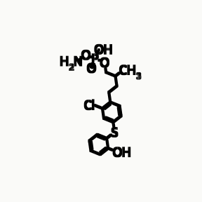 CC(CCc1ccc(Sc2ccccc2O)cc1Cl)COP(=O)(O)ON